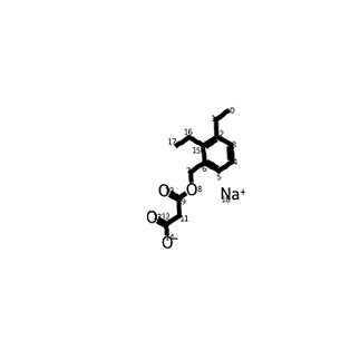 CCc1cccc(COC(=O)CC(=O)[O-])c1CC.[Na+]